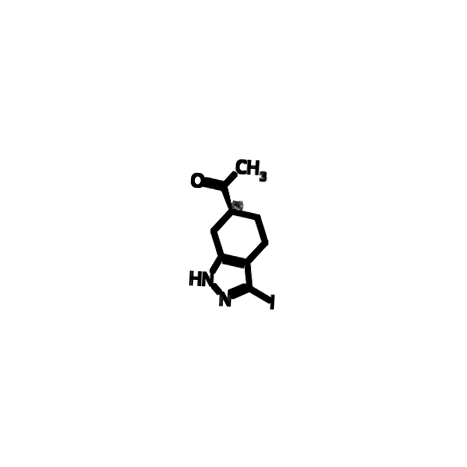 CC(=O)[C@H]1CCc2c(I)n[nH]c2C1